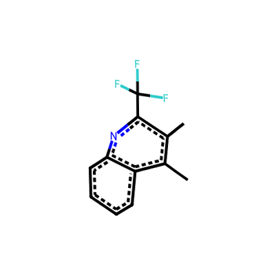 Cc1c(C(F)(F)F)nc2ccccc2c1C